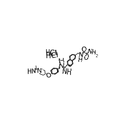 CC(=N)N1CCC(Oc2ccc(NC(=N)c3ccc4cc(CNC(=O)C(N)=O)ccc4c3)cc2)CC1.Cl.Cl